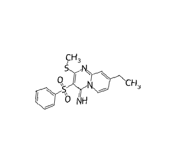 CCc1ccn2c(=N)c(S(=O)(=O)c3ccccc3)c(SC)nc2c1